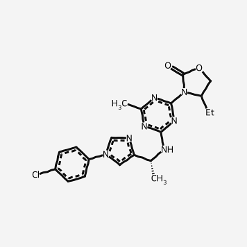 CCC1COC(=O)N1c1nc(C)nc(N[C@H](C)c2cn(-c3ccc(Cl)cc3)cn2)n1